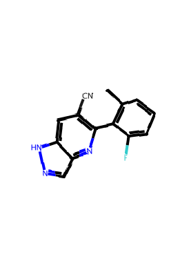 Cc1cccc(F)c1-c1nc2cn[nH]c2cc1C#N